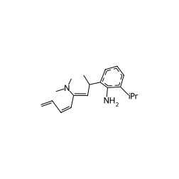 C=C/C=C\C(=C\C(C)c1cccc(C(C)C)c1N)N(C)C